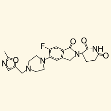 Cc1ncc(CN2CCN(c3cc4c(cc3F)C(=O)N(C3CCC(=O)NC3=O)C4)CC2)o1